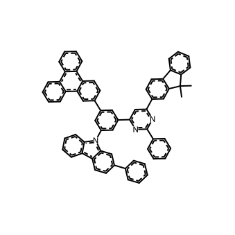 CC1(C)c2ccccc2-c2ccc(-c3cc(-c4cc(-c5ccc6c7ccccc7c7ccccc7c6c5)cc(-n5c6ccccc6c6ccc(-c7ccccc7)cc65)c4)nc(-c4ccccc4)n3)cc21